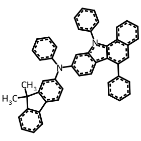 CC1(C)c2ccccc2-c2ccc(N(c3ccccc3)c3ccc4c5c(-c6ccccc6)cc6ccccc6c5n(-c5ccccc5)c4c3)cc21